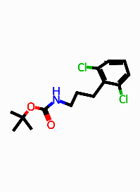 CC(C)(C)OC(=O)NCCCc1c(Cl)[c]ccc1Cl